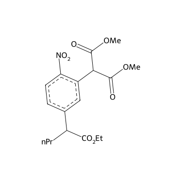 CCCC(C(=O)OCC)c1ccc([N+](=O)[O-])c(C(C(=O)OC)C(=O)OC)c1